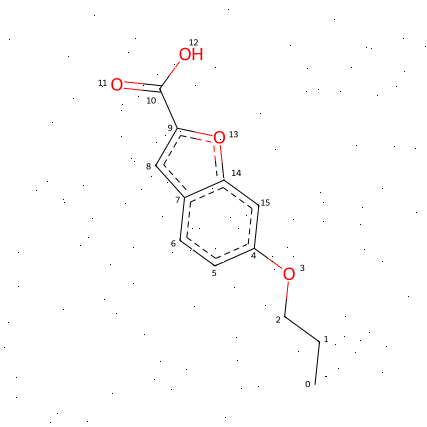 CCCOc1ccc2cc(C(=O)O)oc2c1